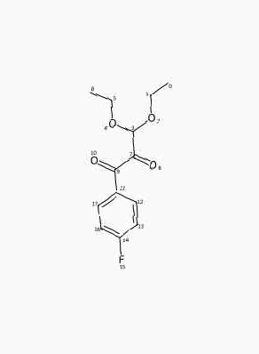 CCOC(OCC)C(=O)C(=O)c1ccc(F)cc1